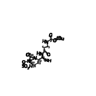 CC(C)(C)OC(=O)NCCC(=O)NC(=N)C1CCC2CN1C(=O)N2OS(=O)(=O)O